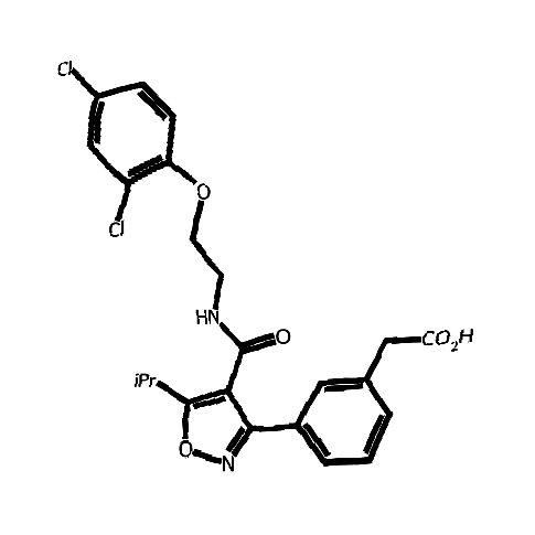 CC(C)c1onc(-c2cccc(CC(=O)O)c2)c1C(=O)NCCOc1ccc(Cl)cc1Cl